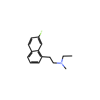 CCN(C)CCc1cccc2ccc(F)cc12